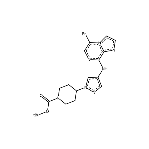 CC(C)(C)OC(=O)N1CCC(n2cc(Nc3ncc(Br)n4ccnc34)cn2)CC1